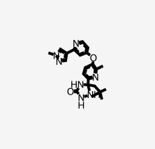 Cc1nc(C2(CC(C)(C)C)NNC(=O)N2)ccc1Oc1ccnc(-c2cnn(C)c2)c1